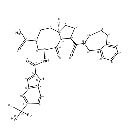 CC(=O)N1CC[C@H]2CC[C@@H](C(=O)N3CCCc4ccccc4C3)N2C(=O)[C@@H](NC(=O)c2cc3cc(C(C)(F)F)ccc3[nH]2)C1